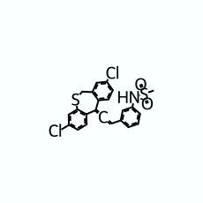 CS(=O)(=O)Nc1cccc(C=C=C2c3ccc(Cl)cc3CSc3cc(Cl)ccc32)c1